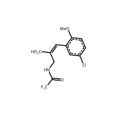 COc1ccc(Cl)cc1/C=C(\CNC(=O)C(F)(F)F)C(=O)O